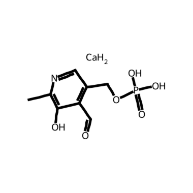 Cc1ncc(COP(=O)(O)O)c(C=O)c1O.[CaH2]